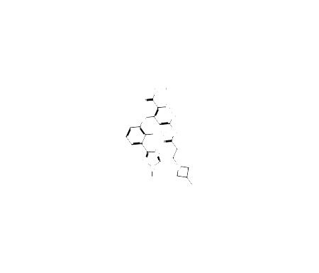 CNC(=O)c1nnc(NC(=O)CCN2CC(C)C2)cc1Nc1cccc(-c2ncn(C)n2)c1OC